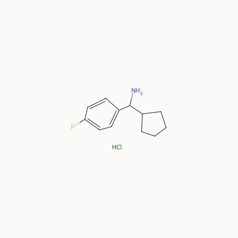 Cl.NC(c1ccc(F)cc1)C1CCCC1